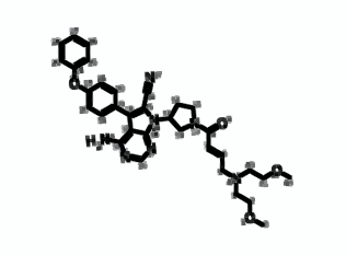 COCCN(CC=CC(=O)N1CCC(n2c(C#N)c(-c3ccc(Oc4ccccc4)cc3)c3c(N)ncnc32)C1)CCOC